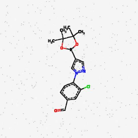 CC1(C)OB(c2cnn(-c3ccc(C=O)cc3Cl)c2)OC1(C)C